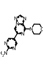 Nc1ncc(-c2cn3ncnc3c(N3CCOCC3)n2)cn1